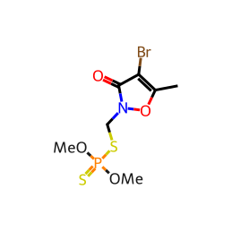 COP(=S)(OC)SCn1oc(C)c(Br)c1=O